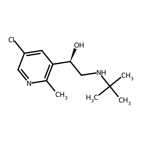 Cc1ncc(Cl)cc1[C@@H](O)CNC(C)(C)C